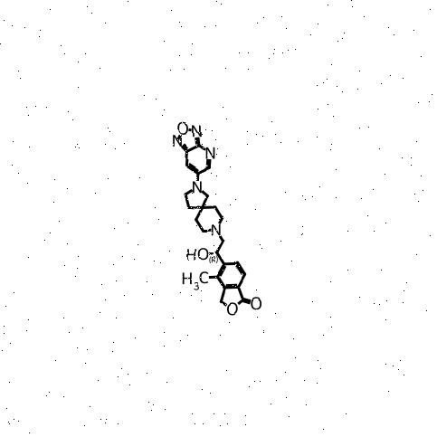 Cc1c([C@@H](O)CN2CCC3(CC2)CCN(c2cnc4nonc4c2)C3)ccc2c1COC2=O